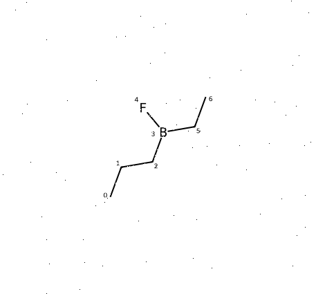 CCCB(F)CC